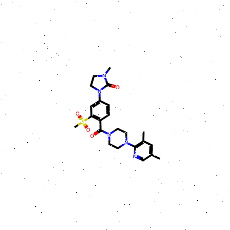 Cc1cnc(N2CCN(C(=O)c3ccc(N4CCN(C)C4=O)cc3S(C)(=O)=O)CC2)c(C)c1